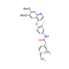 C\C=C(/C=C\C(Cl)=C\C(F)(F)F)CC(=O)Nc1ccc(Oc2ccnc3cc(OC)c(OC)cc23)c(F)c1